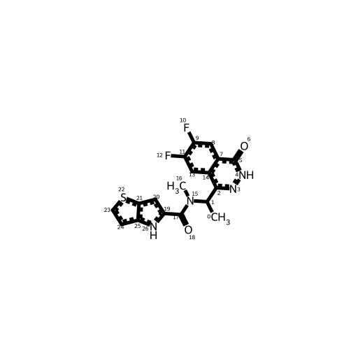 CC(c1n[nH]c(=O)c2cc(F)c(F)cc12)N(C)C(=O)c1cc2sccc2[nH]1